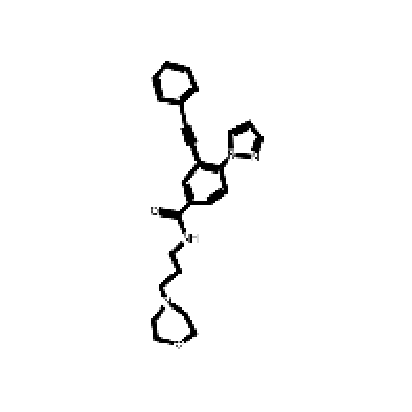 O=C(NCCCN1CCOCC1)c1ccc(-n2cccn2)c(C#Cc2ccccc2)c1